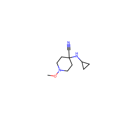 CON1CCC(C#N)(NC2CC2)CC1